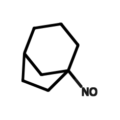 O=NC12CCCC(CC1)C2